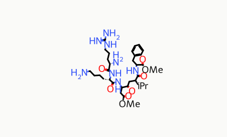 COC(=O)CC(NC(=O)[C@H](CCCCN)NC(=O)[C@@H](N)CCCNC(=N)N)C(=O)CC(C(=O)NC(Cc1ccccc1)C(=O)OC)C(C)C